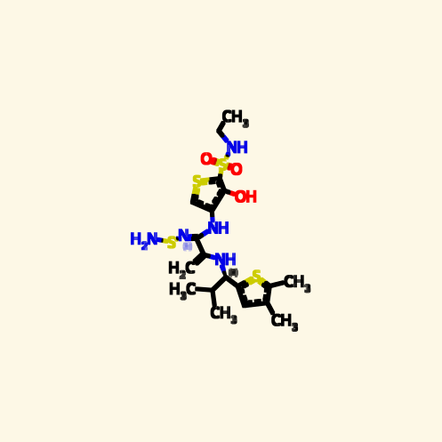 C=C(N[C@@H](c1cc(C)c(C)s1)C(C)C)/C(=N\SN)Nc1csc(S(=O)(=O)NCC)c1O